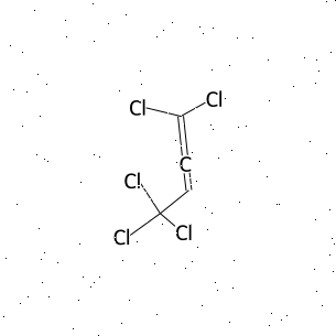 ClC(Cl)=C=CC(Cl)(Cl)Cl